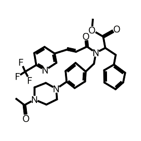 COC(=O)C(Cc1ccccc1)N(Cc1ccc(N2CCN(C(C)=O)CC2)cc1)C(=O)C=Cc1ccc(C(F)(F)F)nc1